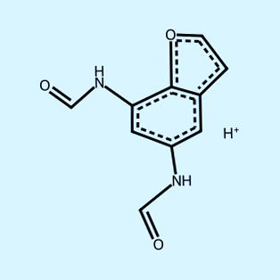 O=CNc1cc(NC=O)c2occc2c1.[H+]